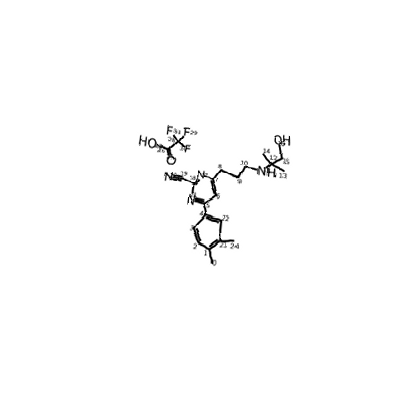 Cc1ccc(-c2cc(CCCNC(C)(C)CO)nc(C#N)n2)cc1C.O=C(O)C(F)(F)F